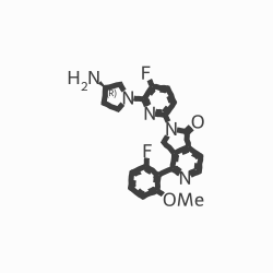 COc1cccc(F)c1-c1nccc2c1CN(c1ccc(F)c(N3CC[C@@H](N)C3)n1)C2=O